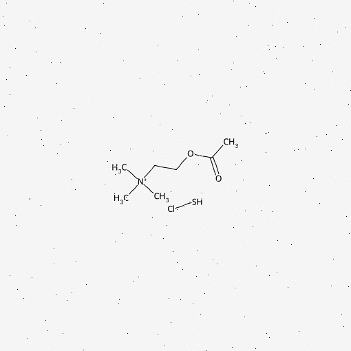 CC(=O)OCC[N+](C)(C)C.SCl